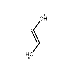 OC=CO